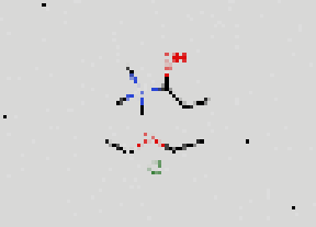 CCC(O)[N+](C)(C)C.CCOCC.[Cl-]